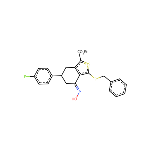 CCOC(=O)c1sc(SCc2ccccc2)c2c1CC(c1ccc(F)cc1)CC2=NO